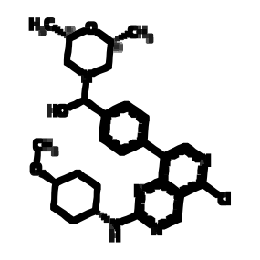 CO[C@H]1CC[C@H](Nc2ncc3c(Cl)ncc(-c4ccc(C(O)N5C[C@@H](C)O[C@@H](C)C5)cc4)c3n2)CC1